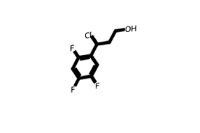 OCCC(Cl)c1cc(F)c(F)cc1F